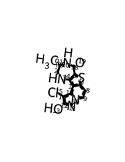 C[C@@H]1CNc2c(sc3ccn4nc(O)c(Cl)c4c23)C(=O)N1